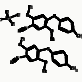 CCOc1cc(Sc2ccc(C)cc2)c(OCC)cc1[N+]#N.CCOc1cc(Sc2ccc(C)cc2)c(OCC)cc1[N+]#N.[Cl][Zn-2]([Cl])([Cl])[Cl]